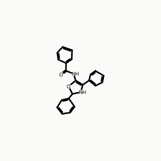 O=C(NC1=C(c2ccccc2)NC(c2ccccc2)O1)c1ccccc1